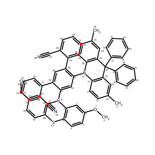 COc1ccc2c(c1)N(c1cc(N3c4ccc(C)cc4C(c4ccccc4)(c4ccccc4)c4cc(C)ccc43)c(-c3ccccc3C#N)cc1-c1ccccc1C#N)c1cc(OC)ccc1S2